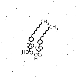 CCCCCCCCC[C@H]1CC[C@H](C2OCC(C(=O)O)CO2)CC1.CCCCCCCC[C@H]1CC[C@H](C2OCC(C(=O)O)CO2)CC1